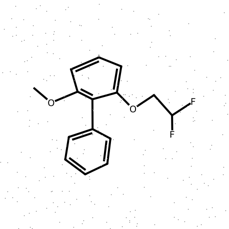 COc1c[c]cc(OCC(F)F)c1-c1ccccc1